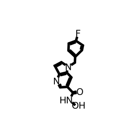 O=C(NO)c1cnc2ccn(Cc3ccc(F)cc3)c2c1